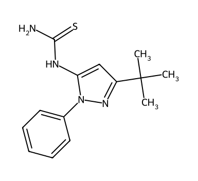 CC(C)(C)c1cc(NC(N)=S)n(-c2ccccc2)n1